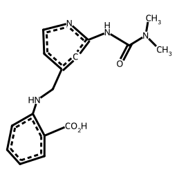 CN(C)C(=O)Nc1cc(CNc2ccccc2C(=O)O)ccn1